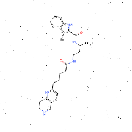 CCc1c(C(=O)NC(CCNC(=O)CCCCc2ccc3c(n2)CCNC3)C(=O)O)[nH]c2ccccc12